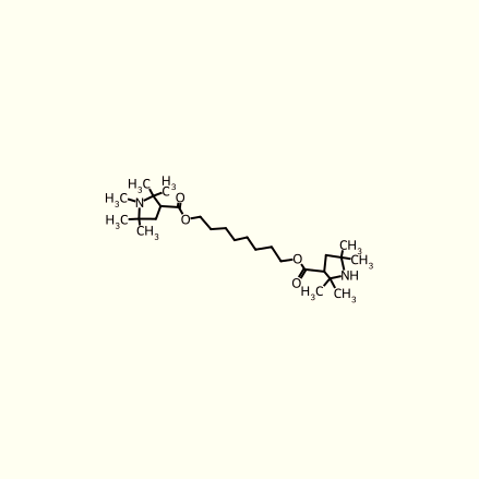 CN1C(C)(C)CC(C(=O)OCCCCCCCCOC(=O)C2CC(C)(C)NC2(C)C)C1(C)C